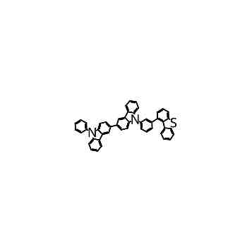 c1ccc(-n2c3ccccc3c3cc(-c4ccc5c(c4)c4ccccc4n5-c4cccc(-c5cccc6sc7ccccc7c56)c4)ccc32)cc1